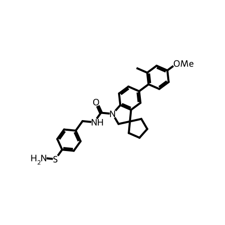 COc1ccc(-c2ccc3c(c2)C2(CCCC2)CN3C(=O)NCc2ccc(SN)cc2)c(C)c1